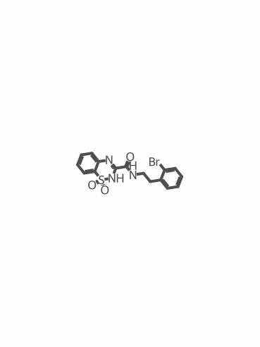 O=C(NCCc1ccccc1Br)C1=Nc2ccccc2S(=O)(=O)N1